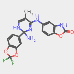 CC1=CNC(N)(c2ccc3c(c2)OC(F)(F)O3)N=C1Nc1ccc2oc(=O)[nH]c2c1